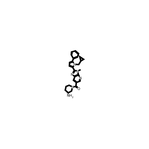 Cn1c(-c2ccc(-c3ccccc3)n2CC2CC2)nc2cc(C(=O)N3CCC[C@@H](N)C3)cnc21